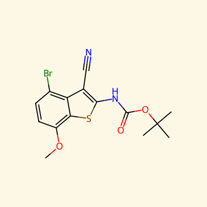 COc1ccc(Br)c2c(C#N)c(NC(=O)OC(C)(C)C)sc12